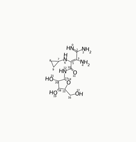 N=C(N)/C(N)=C(\NC1CC1)C(=O)NC1OC(CO)C(O)C1O